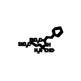 CCOC(=O)CCC[C@](N)([C]=O)NC(CCc1ccccc1)C(=O)OCC